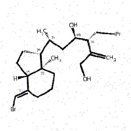 C=C(CO)[C@@H](CC(C)C)[C@H](O)C[C@@H](C)[C@H]1CC[C@H]2/C(=C/Br)CCC[C@]12C